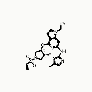 C=CS(=O)(=O)N1C[C@H](F)[C@H](Oc2nc(Nc3ncc(C)s3)cc3c2ccn3CC(C)C)C1